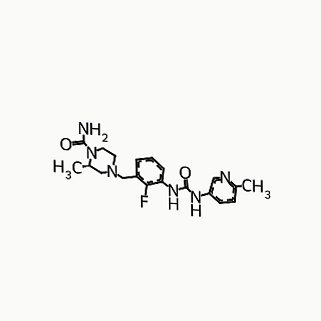 Cc1ccc(NC(=O)Nc2cccc(CN3CCN(C(N)=O)[C@H](C)C3)c2F)cn1